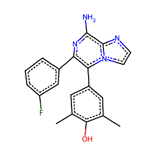 Cc1cc(-c2c(-c3cccc(F)c3)nc(N)c3nccn23)cc(C)c1O